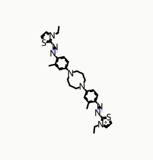 CC[n+]1ccsc1/N=N/c1ccc(N2CCCN(c3ccc(/N=N/c4scc[n+]4CC)c(C)c3)CCC2)cc1C